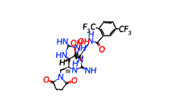 N=C1N[C@H]2[C@H](CN3C(=O)CCC3=O)NC(=N)N3C[C@H](NC(=O)c4cc(C(F)(F)F)ccc4C(F)(F)F)C(O)(O)[C@]23N1